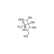 CS(=O)(=O)C(O)(C(O)C=O)C(O)C(O)CO